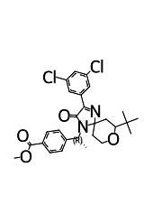 COC(=O)c1ccc([C@@H](C)N2C(=O)C(c3cc(Cl)cc(Cl)c3)=NC23CCOC(C(C)(C)C)C3)cc1